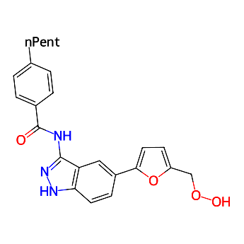 CCCCCc1ccc(C(=O)Nc2n[nH]c3ccc(-c4ccc(COO)o4)cc23)cc1